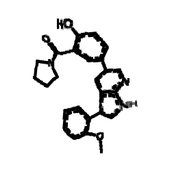 COc1ccccc1-c1c[nH]c2ncc(-c3ccc(O)c(C(=O)N4CCCC4)c3)cc12